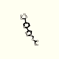 CCOC(OCC)c1ccc(-c2cn(COC(=O)C(C)(C)C)nn2)nc1